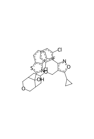 OC1(c2nc3c(F)cccc3s2)C2COCC1CC(OCc1c(-c3c(Cl)cccc3Cl)noc1C1CC1)C2